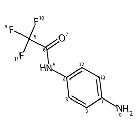 Nc1ccc(NC(=O)C(F)(F)F)cc1